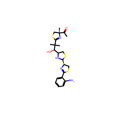 CC(=O)[C@@]1(C)CSC(C(C)(C)[C@H](O)C2CSC([C@H]3CSC(c4ccccc4N)=N3)N2)=N1